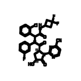 N#Cc1ccnc(N2C(=O)[C@@H](O)C[C@H]2C(=O)N(c2cccc(F)c2)C(C(=O)NC2CC(F)(F)C2)c2ccccc2Cl)n1